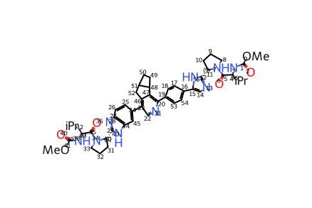 COC(=O)NC(C(=O)N1CCC[C@H]1c1ncc(-c2ccc(-c3ncc(-c4ccc5nc([C@@H]6CCCN6C(=O)[C@@H](NC(=O)OC)C(C)C)[nH]c5c4)c4c3C3CCC3C4)cc2)[nH]1)C(C)C